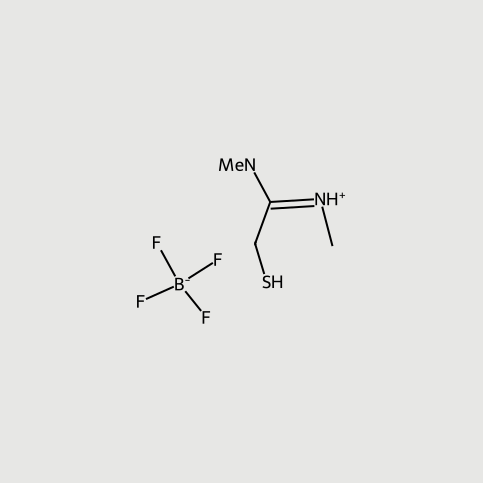 CNC(CS)=[NH+]C.F[B-](F)(F)F